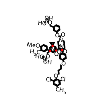 COc1ccc(CN(C(=O)C2=C(c3ccc(OCCCCOc4c(Cl)cc(C)cc4Cl)cc3)CC3CN(C(=O)Oc4cccc(CON(O)O)c4)CC2N3C(=O)Oc2cccc(CON(O)O)c2)C2CC2)cc1C